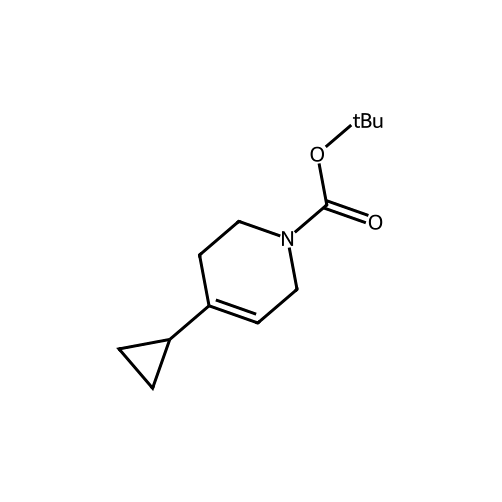 CC(C)(C)OC(=O)N1CC=C(C2CC2)CC1